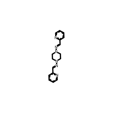 C(=NN1CCN(N=Cc2ccccn2)CC1)c1ccccn1